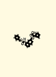 O=C(Nc1cccc2c1CC(CO[C@@H](C(=O)O)c1ccccc1)CC2)OCc1ccccc1